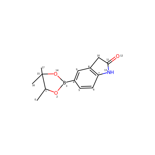 CC1OB(c2ccc3c(c2)CC(=O)N3)OC1(C)C